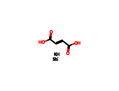 O=C(O)C=CC(=O)O.[KH].[Sb]